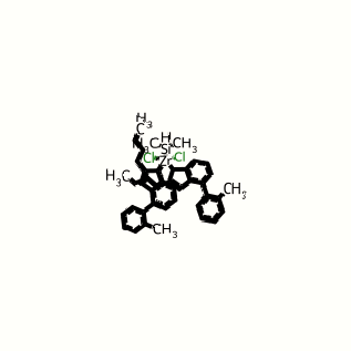 CCCCC1=Cc2c(-c3ccccc3C)cccc2[CH]1[Zr]([Cl])([Cl])([CH]1C(CCCC)=Cc2c(-c3ccccc3C)cccc21)[SiH](C)C